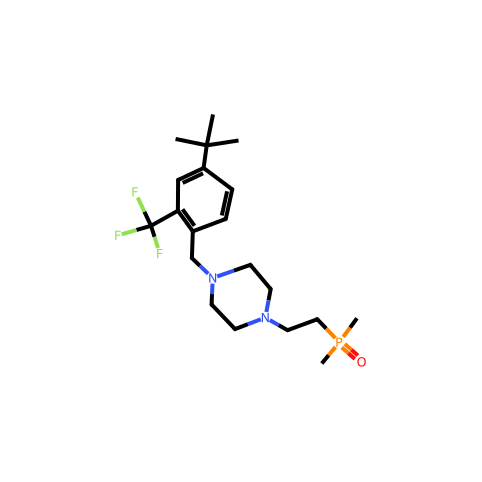 CC(C)(C)c1ccc(CN2CCN(CCP(C)(C)=O)CC2)c(C(F)(F)F)c1